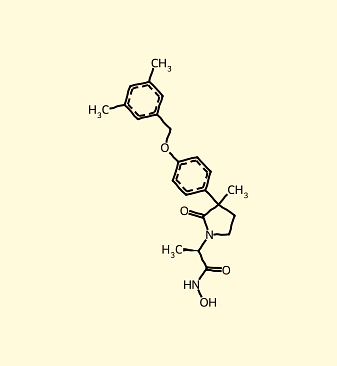 Cc1cc(C)cc(COc2ccc(C3(C)CCN([C@H](C)C(=O)NO)C3=O)cc2)c1